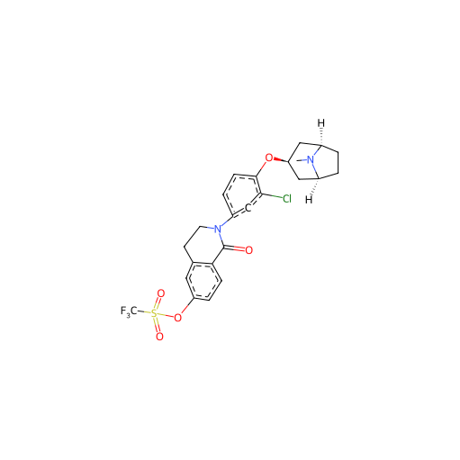 CN1[C@@H]2CC[C@H]1C[C@@H](Oc1ccc(N3CCc4cc(OS(=O)(=O)C(F)(F)F)ccc4C3=O)cc1Cl)C2